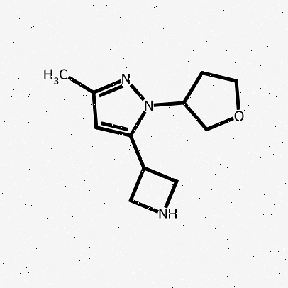 Cc1cc(C2CNC2)n(C2CCOC2)n1